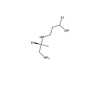 CCC(O)CCN[C@@](C)(CC)CN